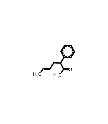 C/C=C/CC(C(C)=O)c1ccccc1